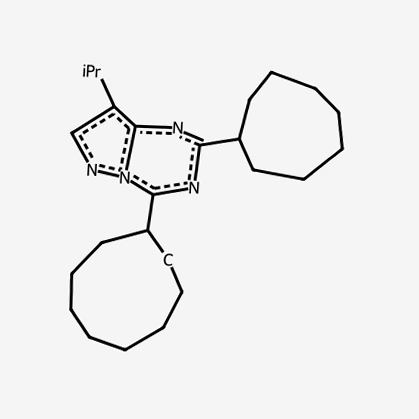 CC(C)c1cnn2c(C3CCCCCCCC3)nc(C3CCCCCCC3)nc12